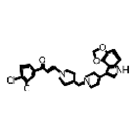 O=C(/C=C/N1CCC(CN2CCC(c3c[nH]c4ccc5c(c34)OCO5)CC2)CC1)c1ccc(Cl)c(Cl)c1